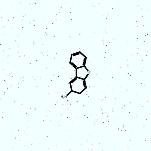 NC1C=c2c(sc3ccccc23)=CC1